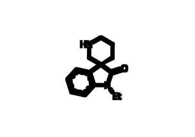 CCN1C(=O)[C@]2(CCCNC2)c2ccccc21